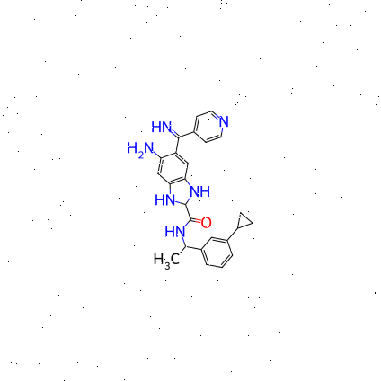 CC(NC(=O)C1Nc2cc(N)c(C(=N)c3ccncc3)cc2N1)c1cccc(C2CC2)c1